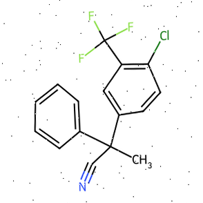 CC(C#N)(c1ccccc1)c1ccc(Cl)c(C(F)(F)F)c1